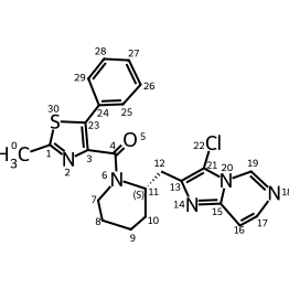 Cc1nc(C(=O)N2CCCC[C@H]2Cc2nc3ccncn3c2Cl)c(-c2ccccc2)s1